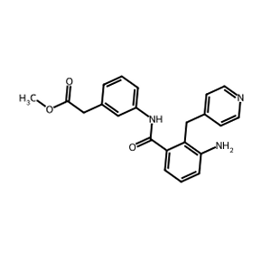 COC(=O)Cc1cccc(NC(=O)c2cccc(N)c2Cc2ccncc2)c1